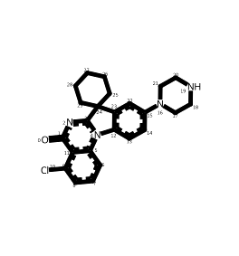 O=c1nc2n(c3cccc(Cl)c13)-c1ccc(N3CCNCC3)cc1C21CCCCC1